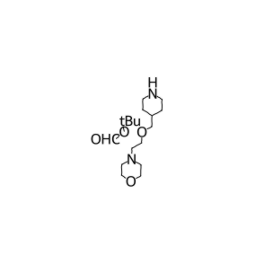 C1CC(COCCN2CCOCC2)CCN1.CC(C)(C)OC=O